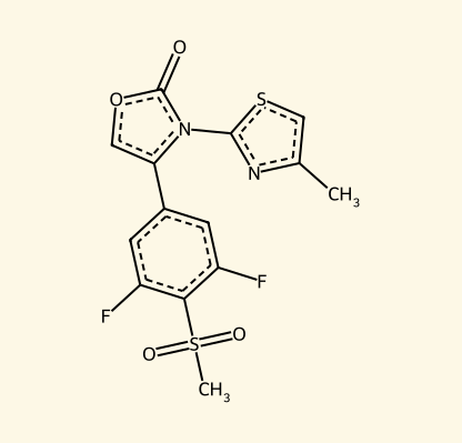 Cc1csc(-n2c(-c3cc(F)c(S(C)(=O)=O)c(F)c3)coc2=O)n1